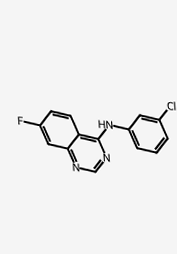 Fc1ccc2c(Nc3cccc(Cl)c3)ncnc2c1